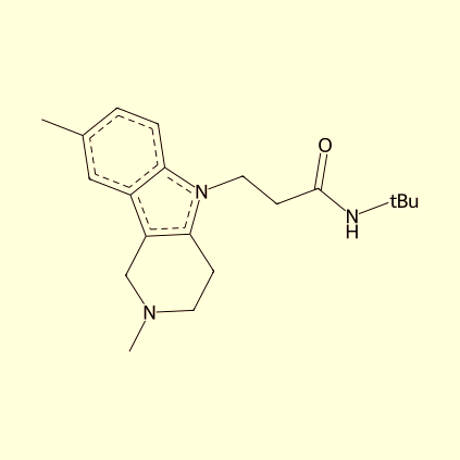 Cc1ccc2c(c1)c1c(n2CCC(=O)NC(C)(C)C)CCN(C)C1